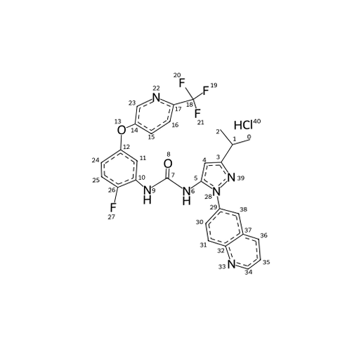 CC(C)c1cc(NC(=O)Nc2cc(Oc3ccc(C(F)(F)F)nc3)ccc2F)n(-c2ccc3ncccc3c2)n1.Cl